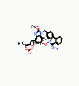 CCOC(=O)ON=C(N)c1ccccc1-c1ccc(Cn2c(OCC)nc3c(Cc4oc(=O)oc4C)ccc(C(=O)O)c32)cc1